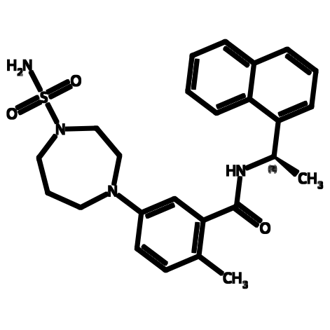 Cc1ccc(N2CCCN(S(N)(=O)=O)CC2)cc1C(=O)N[C@H](C)c1cccc2ccccc12